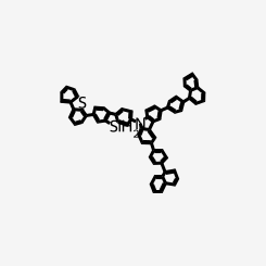 c1ccc2c(-c3ccc(-c4ccc5c(c4)c4cc(-c6ccc(-c7cccc8ccccc78)cc6)ccc4n5-c4ccc5c(c4)[SiH2]c4cc(-c6cccc7c6sc6ccccc67)ccc4-5)cc3)cccc2c1